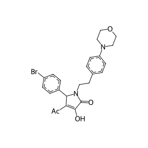 CC(=O)C1=C(O)C(=O)N(CCc2ccc(N3CCOCC3)cc2)C1c1ccc(Br)cc1